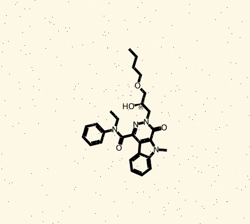 CCCCOC[C@H](O)Cn1nc(C(=O)N(CC)c2ccccc2)c2c3ccccc3n(C)c2c1=O